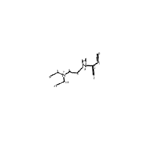 C=CC(=C)NCCN(CC)CC